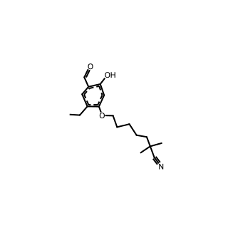 CCc1cc(C=O)c(O)cc1OCCCCCC(C)(C)C#N